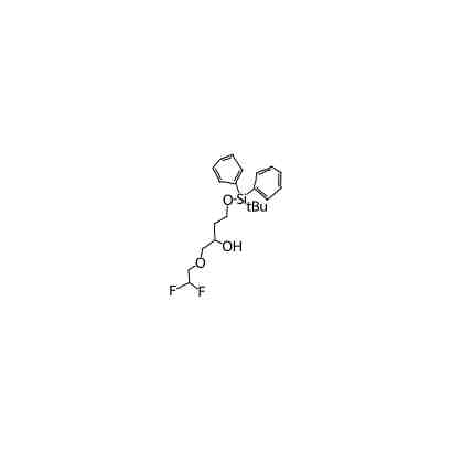 CC(C)(C)[Si](OCCC(O)COCC(F)F)(c1ccccc1)c1ccccc1